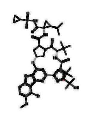 COc1ccc2oc3c(O[C@@H]4C[C@@H](C(=O)N[C@]5(C(=O)NS(=O)(=O)C6CC6)C[C@H]5C(C)C)N(C(=O)[C@@H](NC(=O)OC(C)(C)C)C(C)(C)C)C4)cc(-c4cnc(C(C)(C)O)s4)nc3c2c1Br